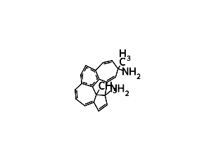 CC1(N)C=Cc2ccc3c4c2C(=C1)C1(N)C=CC(=CC=C3)C41C